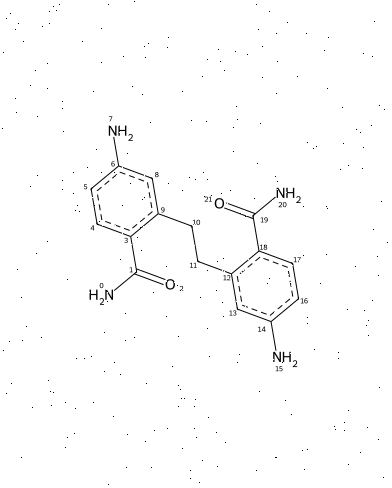 NC(=O)c1ccc(N)cc1CCc1cc(N)ccc1C(N)=O